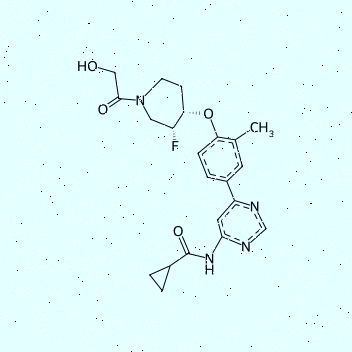 Cc1cc(-c2cc(NC(=O)C3CC3)ncn2)ccc1O[C@H]1CCN(C(=O)CO)C[C@H]1F